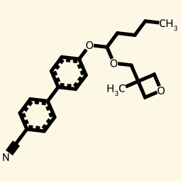 CCCCC(OCC1(C)COC1)Oc1ccc(-c2ccc(C#N)cc2)cc1